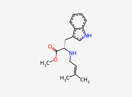 COC(=O)[C@H](Cc1c[nH]c2ccccc12)NCC=C(C)C